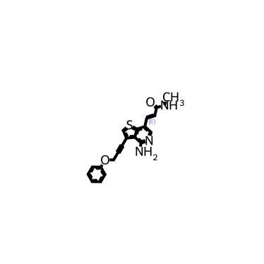 CNC(=O)/C=C/c1cnc(N)c2c(C#CCOc3ccccc3)csc12